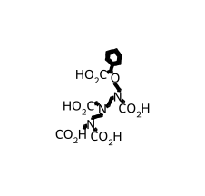 O=C(O)CN(CCOC(C(=O)O)c1ccccc1)CCN(CCN(CC(=O)O)CC(=O)O)CC(=O)O